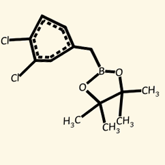 CC1(C)OB(Cc2ccc(Cl)c(Cl)c2)OC1(C)C